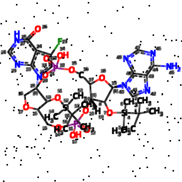 CC(C)(C)[Si](C)(C)OC1[C@@H]2OP(=O)(O)OCC3OC[C@@](n4cc(F)c5c(=O)[nH]cnc54)(OP(=O)(O)OCC2O[C@H]1n1cnc2c(N)ncnc21)C3O[Si](C)(C)C(C)(C)C